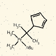 CCC[CH2][Pt]([CH3])([CH3])[C](C)(C)C1C=CC=C1